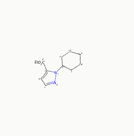 CCOC(=O)c1ccnn1C1CCCCC1